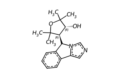 CC1(C)OC(C)(C)[C@H](C2c3ccccc3-c3cncn32)[C@H]1O